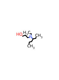 CCCC(CC)N(CC)CCCO